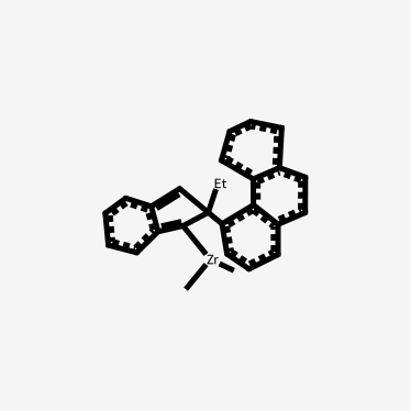 CCC1(c2cccc3ccc4ccccc4c23)C=c2ccccc2=[C]1[Zr]([CH3])[CH3]